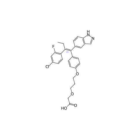 CC/C(=C(/c1ccc(OCCCOCC(=O)O)cc1)c1ccc2[nH]ncc2c1)c1ccc(Cl)cc1F